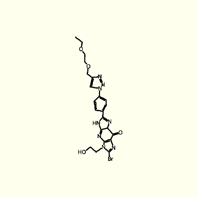 CCOCCOCc1cn(-c2ccc(C3=NC4C(=O)c5nc(Br)n(CCO)c5N=C4N3)cc2)nn1